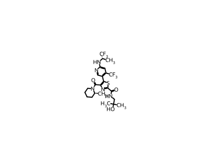 C[C@H](Nc1cc(C(F)(F)F)c(-c2sc(C(=O)NCC(C)(C)O)nc2C(=O)N2CCCC[C@@H]2C)cn1)C(F)(F)F